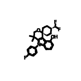 CC1(C)CO[C@]2(CC[C@@H](C(F)F)CC2)c2c1n(-c1ccc(F)cc1)c1cccc(O)c12